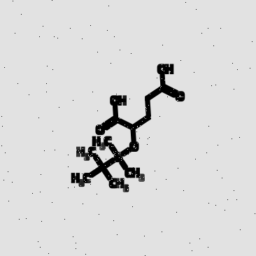 CC(C)(C)[Si](C)(C)OC(CCC(=O)O)C(=O)O